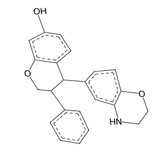 Oc1ccc2c(c1)OCC(c1ccccc1)C2c1ccc2c(c1)NCCO2